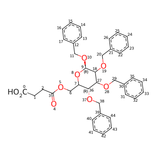 O=C(O)CCC(=O)OCC1O[C@@H](OCc2ccccc2)C(OCc2ccccc2)C(OCc2ccccc2)[C@@H]1OCc1ccccc1